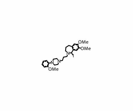 COc1cc2c(cc1OC)C(I)N(CCCN1CCN(c3ccccc3OC)CC1)CCC2